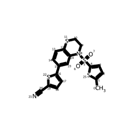 Cc1ccc(S(=O)(=O)N2CCSc3ccc(-c4ccc(C#N)s4)cc32)s1